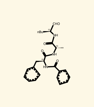 CCCC[C@@H](C=O)NC(=O)[C@H](C)NC(=O)[C@H](Cc1ccccc1)NC(=O)c1ccccc1